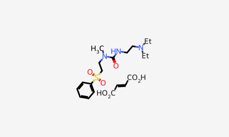 CCN(CC)CCNC(=O)N(C)CCS(=O)(=O)c1ccccc1.O=C(O)C=CC(=O)O